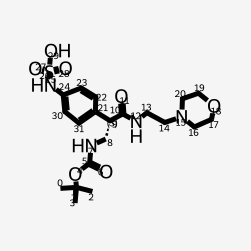 CC(C)(C)OC(=O)NC[C@@H](C(=O)NCCN1CCOCC1)c1ccc(NS(=O)(=O)O)cc1